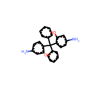 Nc1ccc(C(c2ccccc2)(c2ccccc2)c2ccc(N)cc2O)c(O)c1